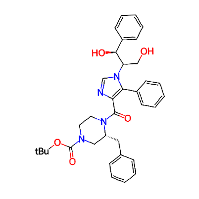 CC(C)(C)OC(=O)N1CCN(C(=O)c2ncn(C(CO)[C@@H](O)c3ccccc3)c2-c2ccccc2)[C@H](Cc2ccccc2)C1